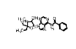 CCC1(CC)O[C@@H](n2cnc3c(NC(=O)c4ccccc4)ncnc32)C(O)[C@H]1C